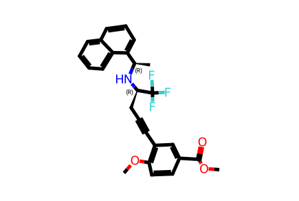 COC(=O)c1ccc(OC)c(C#CC[C@@H](N[C@H](C)c2cccc3ccccc23)C(F)(F)F)c1